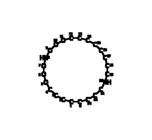 C1CCCCOOONOOOCCCCCCCCNCCC1